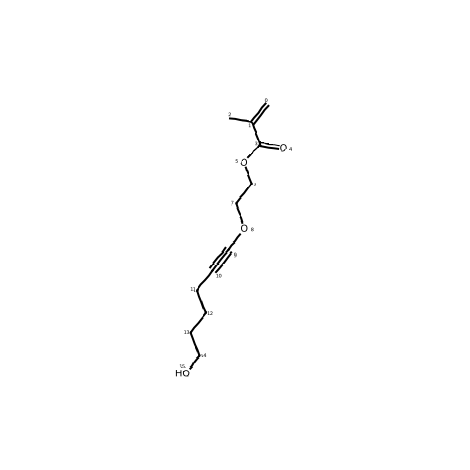 C=C(C)C(=O)OCCOC#CCCCCO